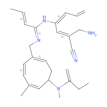 C=C/C=C(\C=C(\C#N)CN)NC(/C=C/C)=N/CC1=C/CC(N(C)C(=C)CC)C=C(C)/C=C\1